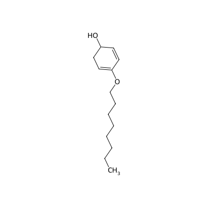 CCCCCCCCOC1=CCC(O)C=C1